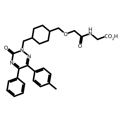 Cc1ccc(-c2nn(CC3CCC(COCC(=O)NCC(=O)O)CC3)c(=O)nc2-c2ccccc2)cc1